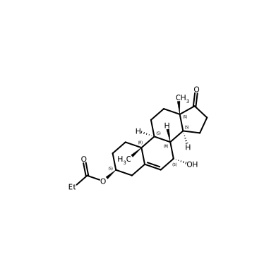 CCC(=O)O[C@H]1CC[C@@]2(C)C(=C[C@@H](O)[C@@H]3[C@@H]2CC[C@]2(C)C(=O)CC[C@@H]32)C1